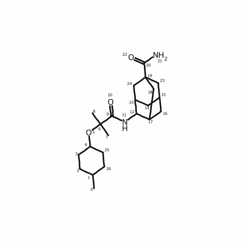 CC1CCC(OC(C)(C)C(=O)NC2C3CC4CC2CC(C(N)=O)(C4)C3)CC1